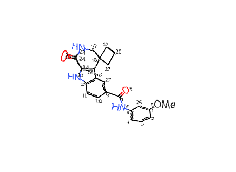 COc1cccc(NC(=O)c2ccc3[nH]c4c(c3c2)C2(CCC2)CNC4=O)c1